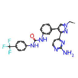 CCn1cc(-c2cccc(NC(=O)Nc3ccc(C(F)(F)F)cc3)c2)c(-c2ccnc(N)n2)n1